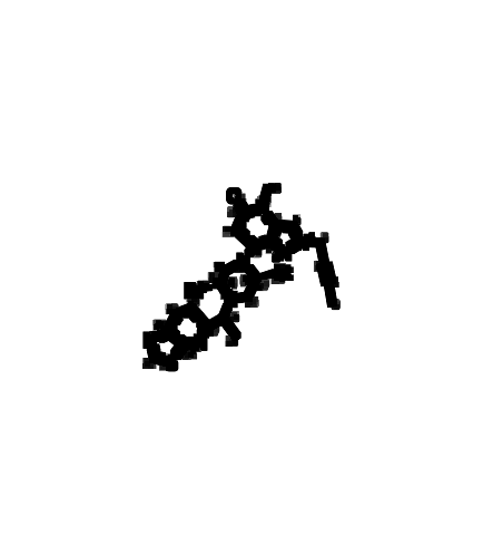 CC#CCn1cc2c(n1)c(N1C[C@@H](CC)N(C(C)c3ccc4ncsc4n3)C[C@@H]1CC)cc(=O)n2C